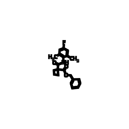 Cc1cc(F)cc(C)c1NC(=O)C1(C(=O)OCc2ccccc2)CCC1